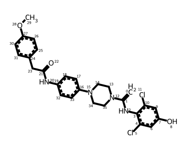 C=C(Nc1c(Cl)cc(O)cc1Cl)N1CCN(c2ccc(NC(=O)Cc3ccc(OC)cc3)cc2)CC1